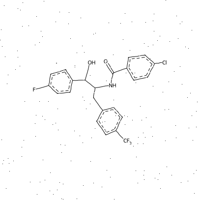 O=C(NC(Cc1ccc(C(F)(F)F)cc1)C(O)c1ccc(F)cc1)c1ccc(Cl)cc1